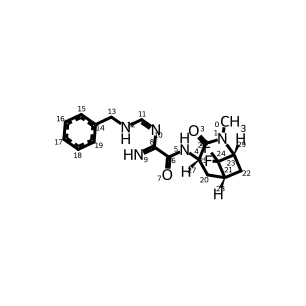 CN1C(=O)[C@@H](NC(=O)C(=N)/N=C\NCc2ccccc2)C[C@H]2C[C@@H]1C2(F)F